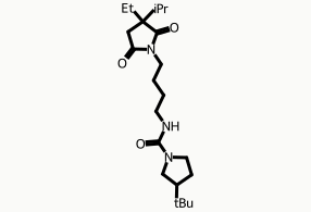 CCC1(C(C)C)CC(=O)N(CCCCNC(=O)N2CCC(C(C)(C)C)C2)C1=O